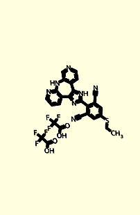 CCSc1cc(C#N)c(-c2nc3c([nH]2)-c2ccncc2Nc2ncccc2-3)c(C#N)c1.O=C(O)C(F)(F)F.O=C(O)C(F)(F)F